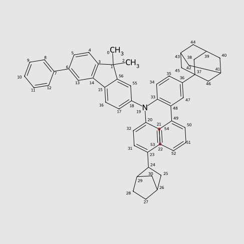 CC1(C)c2ccc(-c3ccccc3)cc2-c2ccc(N(c3ccc(C4CC5CCC4C5)cc3)c3ccc(C45CC6CC(CC(C6)C4)C5)cc3-c3ccccc3)cc21